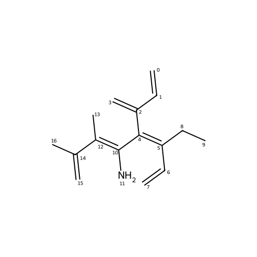 C=CC(=C)C(=C(/C=C)CC)/C(N)=C(\C)C(=C)C